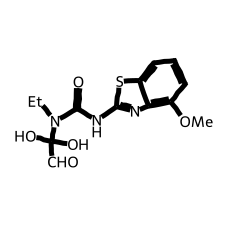 CCN(C(=O)Nc1nc2c(OC)cccc2s1)C(O)(O)C=O